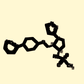 CS(=O)(=O)N[C@H]1CCN(c2ccns2)[C@H]1COC1CCC(c2ccccc2)CC1